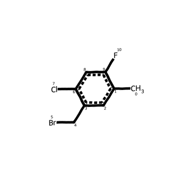 Cc1cc(CBr)c(Cl)cc1F